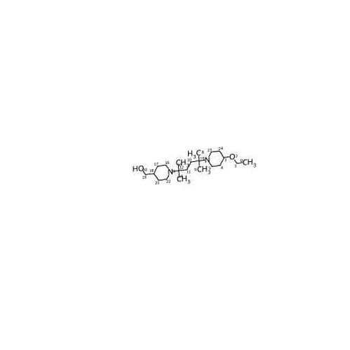 CCOC1CCN(C(C)(C)CCC(C)(C)N2CCC(CO)CC2)CC1